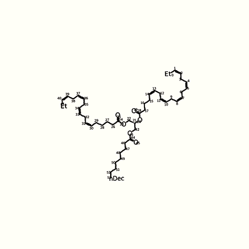 CC/C=C\C/C=C\C/C=C\C/C=C\C/C=C\CCCC(=O)O[C@H](COC(=O)CCCC/C=C\C/C=C\C/C=C\C/C=C\CC)COC(=O)CCCCCCCCCCCCCCCCC